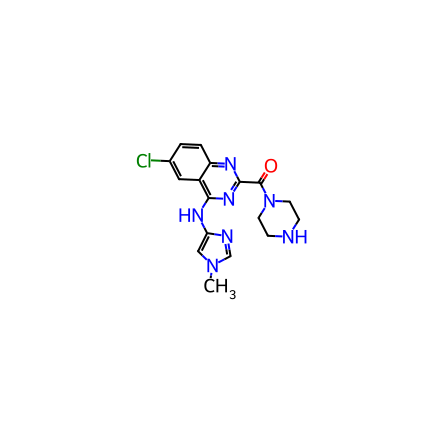 Cn1cnc(Nc2nc(C(=O)N3CCNCC3)nc3ccc(Cl)cc23)c1